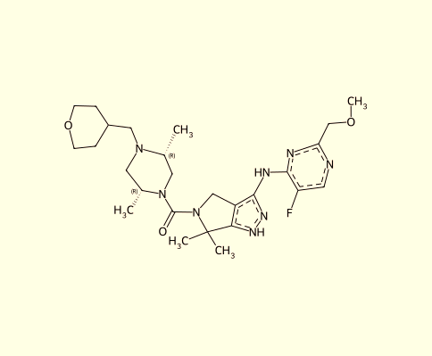 COCc1ncc(F)c(Nc2n[nH]c3c2CN(C(=O)N2C[C@@H](C)N(CC4CCOCC4)C[C@H]2C)C3(C)C)n1